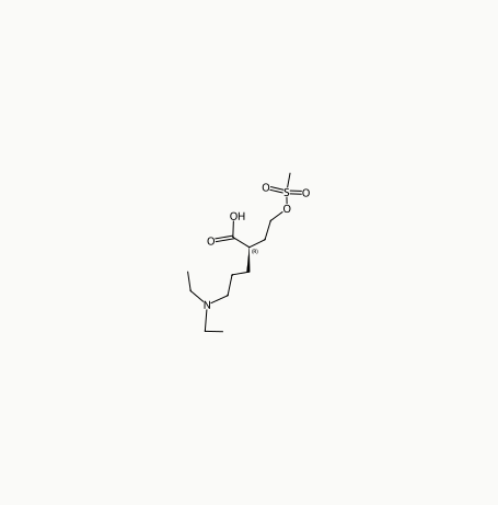 CCN(CC)CCC[C@H](CCOS(C)(=O)=O)C(=O)O